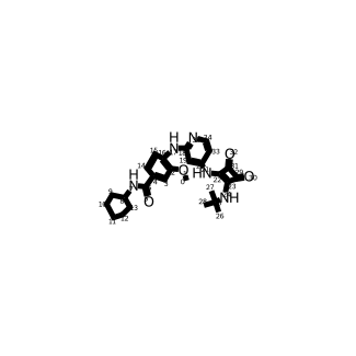 COc1cc(C(=O)NC2CCCCC2)ccc1Nc1cc(Nc2c(NC(C)(C)C)c(=O)c2=O)ccn1